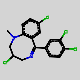 CN1CC(Cl)CN=C(c2ccc(Cl)c(Cl)c2)c2cc(Cl)ccc21